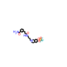 NC(=O)c1cccc(C=CC(=O)NCCCCN2CCc3ccc(OS(=O)(=O)C(F)(F)F)cc3C2)c1